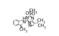 CSc1ccccc1CNc1nc(S(C)(=O)=O)nc2c(C(C)C)cnn12